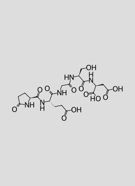 O=C(O)CC[C@H](NC(=O)[C@@H]1CCC(=O)N1)C(=O)NCC(=O)N[C@@H](CO)C(=O)N[C@@H](CC(=O)O)C(=O)O